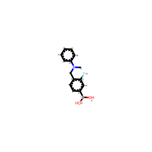 CN(Cc1ccc(B(O)O)cc1F)c1ccccc1